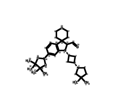 CC1(C)CCN([C@H]2C[C@@H](N3c4cc(B5OC(C)(C)C(C)(C)O5)ccc4C4(CCOCC4)C3C=O)C2)C1